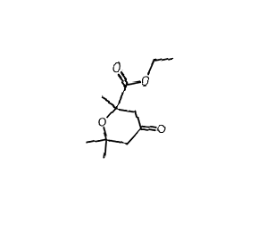 CCOC(=O)C1(C)CC(=O)CC(C)(C)O1